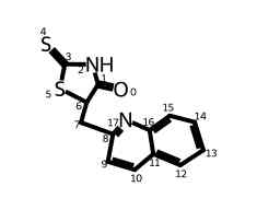 O=C1NC(=S)SC1Cc1ccc2ccccc2n1